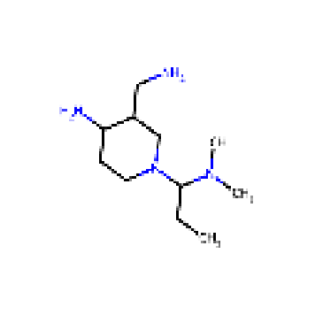 CCC(N(C)C)N1CCC(N)C(CN)C1